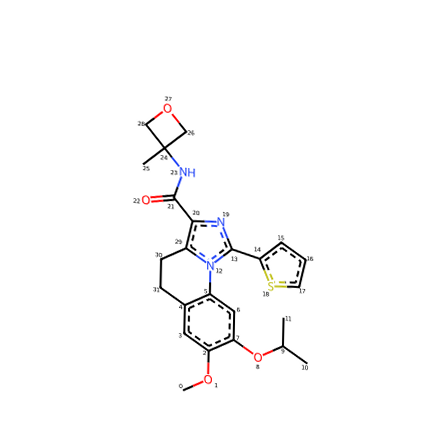 COc1cc2c(cc1OC(C)C)-n1c(-c3cccs3)nc(C(=O)NC3(C)COC3)c1CC2